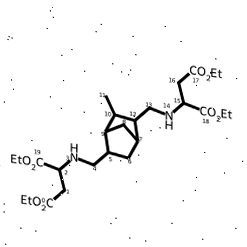 CCOC(=O)CC(NCC1CC2CC1C(C)C2CNC(CC(=O)OCC)C(=O)OCC)C(=O)OCC